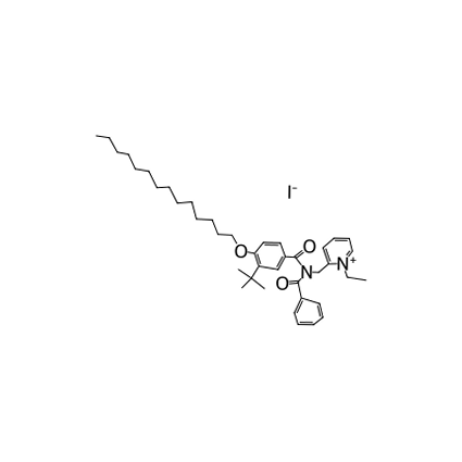 CCCCCCCCCCCCCCOc1ccc(C(=O)N(Cc2cccc[n+]2CC)C(=O)c2ccccc2)cc1C(C)(C)C.[I-]